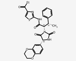 CCC(=O)c1csc(NC(=O)[C@H]([C@@H](C)c2ccccc2)N2C(=O)N[C@H](c3ccc4c(c3)OCCO4)C2=O)n1